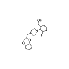 OCc1cccc(F)c1N1CCN(CC2COc3ccccc3O2)CC1